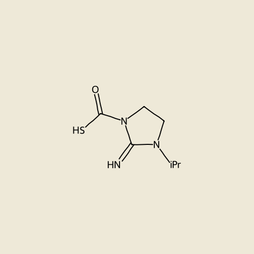 CC(C)N1CCN(C(=O)S)C1=N